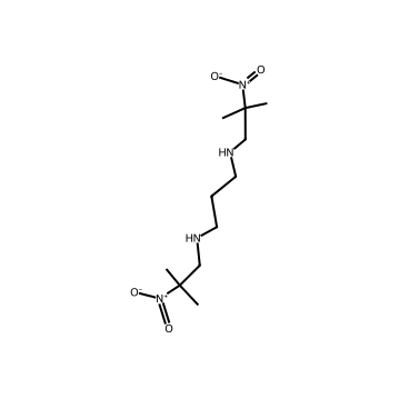 CC(C)(CNCCCNCC(C)(C)[N+](=O)[O-])[N+](=O)[O-]